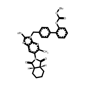 CCCc1nc2cc(N3C(=O)[C@H]4CCCC[C@H]4C3=O)c(C)nc2n1Cc1ccc(-c2ccccc2OC(=O)OC(C)(C)C)cc1